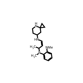 CNc1ccccc1N(C)C(C)/C=C\NC1CCNC2(CC2)C1